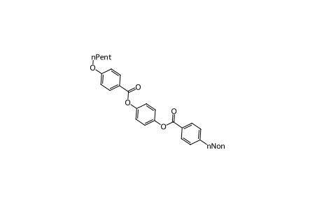 CCCCCCCCCc1ccc(C(=O)Oc2ccc(OC(=O)c3ccc(OCCCCC)cc3)cc2)cc1